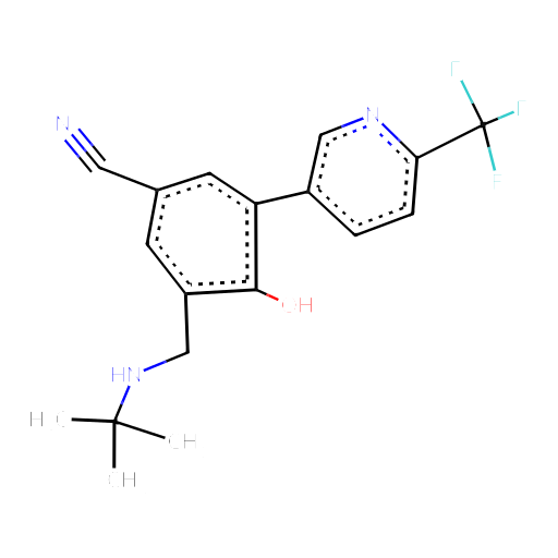 CC(C)(C)NCc1cc(C#N)cc(-c2ccc(C(F)(F)F)nc2)c1O